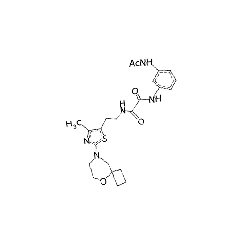 CC(=O)Nc1cccc(NC(=O)C(=O)NCCc2sc(N3CCOC4(CCC4)C3)nc2C)c1